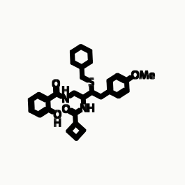 COc1ccc(CC(SCC2CCCCC2)C(CNC(=O)c2ccccc2O)NC(=O)C2CCC2)cc1